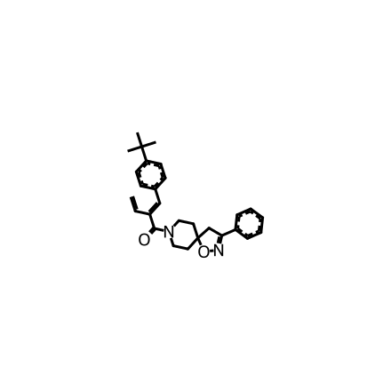 C=CC(=Cc1ccc(C(C)(C)C)cc1)C(=O)N1CCC2(CC1)CC(c1ccccc1)=NO2